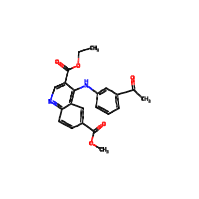 CCOC(=O)c1cnc2ccc(C(=O)OC)cc2c1Nc1cccc(C(C)=O)c1